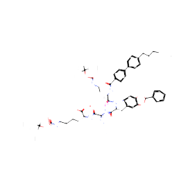 CCCCc1ccc(-c2ccc(C(=O)N[C@@H](CCNC(=O)OC(C)(C)C)C(=O)N[C@@H](Cc3ccc4c(c3)OC(c3ccccc3)O4)C(=O)N[C@@H](N)C(=O)N[C@@H](CCCCNC(=O)OC(C)(C)C)C(=O)O)cc2)cc1